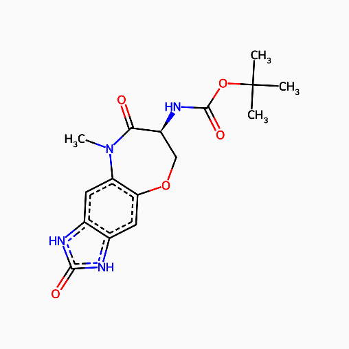 CN1C(=O)[C@@H](NC(=O)OC(C)(C)C)COc2cc3[nH]c(=O)[nH]c3cc21